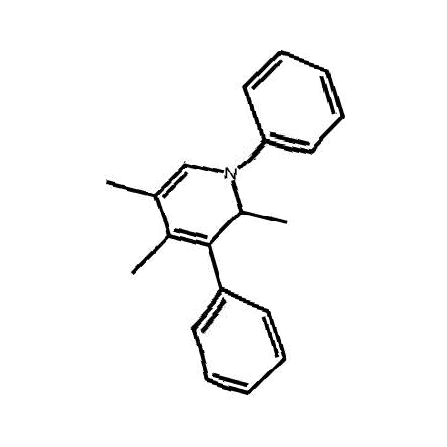 CC1=[C]N(c2ccccc2)C(C)C(c2ccccc2)=C1C